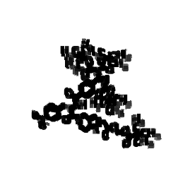 CC(C)(C)OC(=O)N=C(c1ccc(C(=O)N[C@@H](Cc2ccc([N+](=O)[O-])cc2)C(=O)N2CCc3nn(CC(=O)OCOC(=O)C(C)(C)C)cc3C2)cc1)N(C(=O)OC(C)(C)C)C(=O)OC(C)(C)C